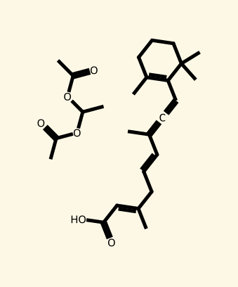 CC(=C=CC1=C(C)CCCC1(C)C)C=CCC(C)=CC(=O)O.CC(=O)OC(C)OC(C)=O